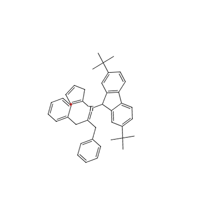 CC(C)(C)c1ccc2c(c1)[CH]([Ti]([C]1=CC=CC1)=[C](Cc1ccccc1)Cc1ccccc1)c1cc(C(C)(C)C)ccc1-2